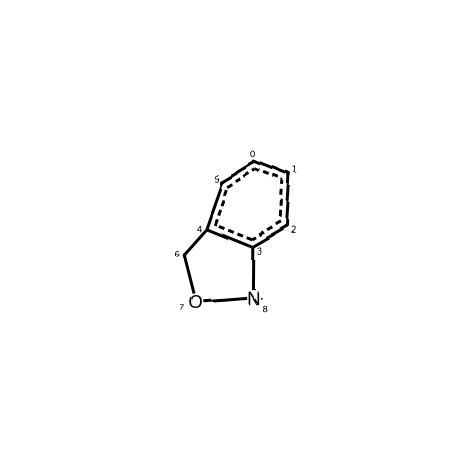 c1ccc2c(c1)CO[N]2